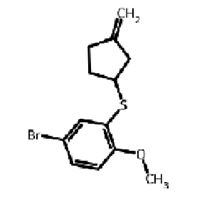 C=C1CCC(Sc2cc(Br)ccc2OC)C1